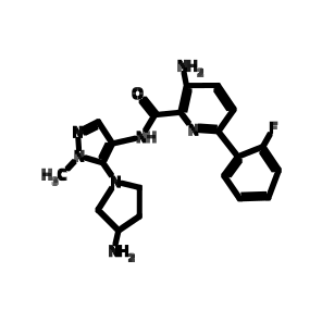 Cn1ncc(NC(=O)c2nc(-c3ccccc3F)ccc2N)c1N1CCC(N)C1